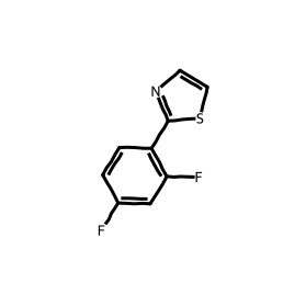 Fc1ccc(-c2nccs2)c(F)c1